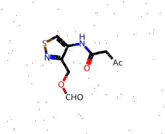 CC(=O)CC(=O)Nc1csnc1COC=O